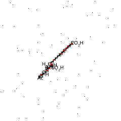 C=C(CCCCCCCCCCCCCCCCCCCCC(=O)O)NC(CCC(=O)NCCOCCOCC(C)=O)C(=O)O